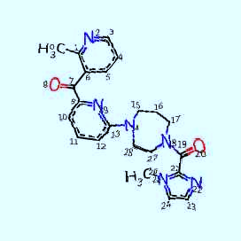 Cc1ncccc1C(=O)c1cccc(N2CCCN(C(=O)c3nccn3C)CC2)n1